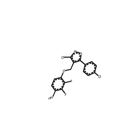 CCCc1ccc(OCc2c(Cl)nsc2-c2ccc(Cl)cc2)c(F)c1F